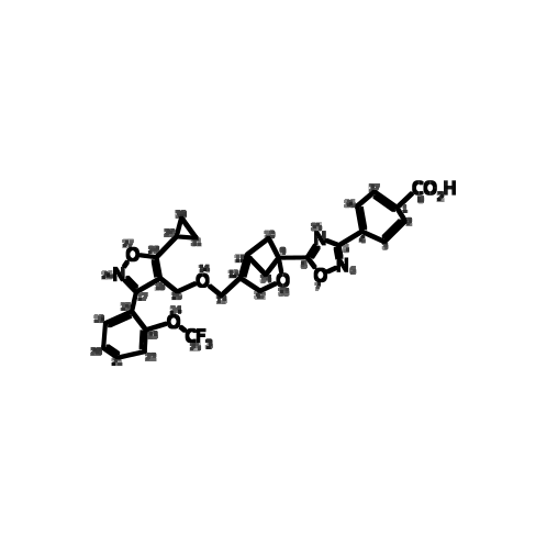 O=C(O)c1ccc(-c2noc(C34CC(=C(COCc5c(-c6ccccc6OC(F)(F)F)noc5C5CC5)CO3)C4)n2)cc1